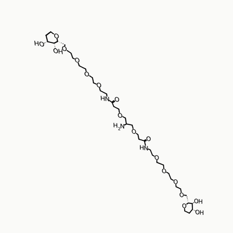 NC(COCCC(=O)NCCOCCOCCOCCOC[C@H]1OCC[C@@H](O)[C@H]1O)COCCC(=O)NCCOCCOCCOCCOC[C@H]1OCC[C@@H](O)[C@H]1O